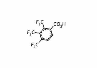 O=C(O)c1ccc(C(F)(F)F)c(C(F)(F)F)c1C(F)(F)F